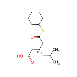 CC(C)C[C@H](CC(=O)O)CC(=O)SC1CCCCC1